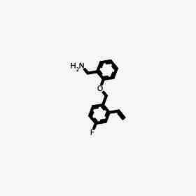 C=Cc1cc(F)ccc1COc1ccccc1CN